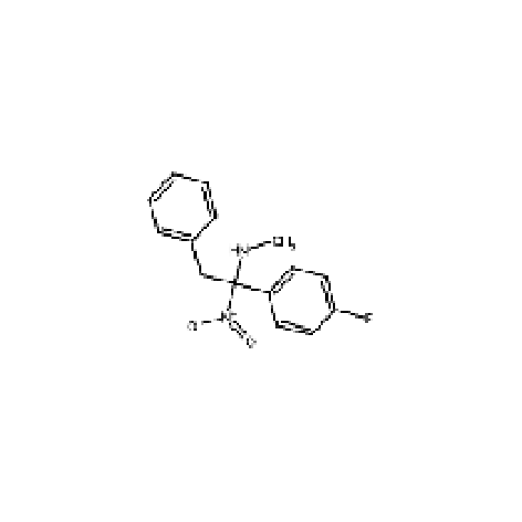 CNC(Cc1ccccc1)(c1ccc(F)cc1)[N+](=O)[O-]